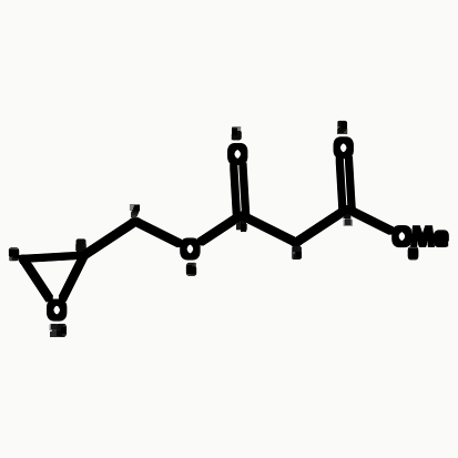 COC(=O)CC(=O)OCC1CO1